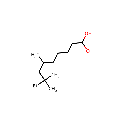 CCC(C)(C)CC(C)CCCCC(O)O